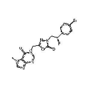 Cn1cnc2ncn(Cc3nn(C[C@H](F)c4ccc(Br)cc4)c(=O)o3)c(=O)c21